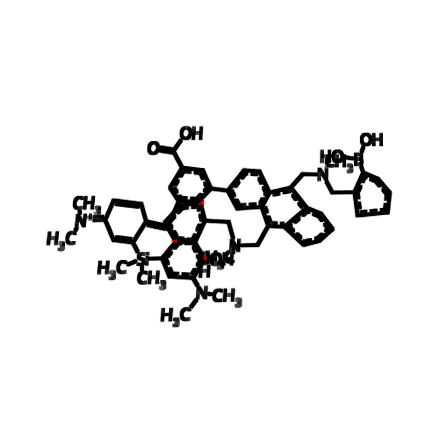 CN(Cc1ccccc1BO)Cc1c2ccccc2c(CN(C)Cc2ccccc2B(O)O)c2ccc(-c3cc(C(=O)O)cc(C4=C5C=CC(=[N+](C)C)C=C5[Si](C)(C)c5cc(N(C)C)ccc54)c3)cc12